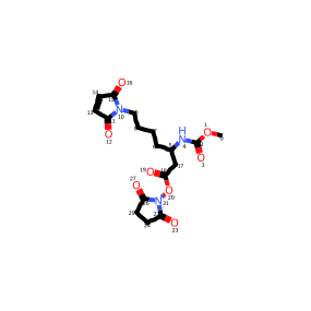 COC(=O)NC(CCCCN1C(=O)C=CC1=O)CC(=O)ON1C(=O)CCC1=O